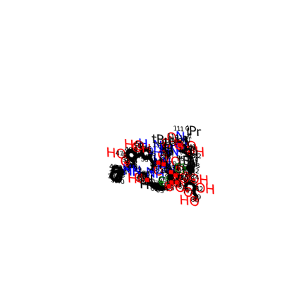 CC(C)C[C@H](C(=O)N[C@H]1C(=O)N[C@@H](CC(N)=O)C(=O)N[C@H]2C(=O)N[C@H]3C(=O)N[C@@H](C(=O)NC(C(=O)NC4C5CC6CC(C5)CC4C6)c4cc(O)cc(O)c4-c4cc3ccc4O)[C@H](O)c3ccc(c(Cl)c3)Oc3cc2cc(c3OC2OC(CO)C(O)C(O)C2OC2CC(C)(NC(=O)OC(C)(C)C)CC(C)O2)Oc2ccc(cc2Cl)[C@H]1O)N(C)C(=O)OC(C)(C)C